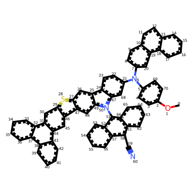 COc1ccc(N(c2ccc3ccc4ccccc4c3c2)c2ccc3c4cc5sc6cc7c8ccccc8c8ccccc8c7cc6c5cc4n(-c4c5ccccc5c(C#N)c5ccccc45)c3c2)cc1